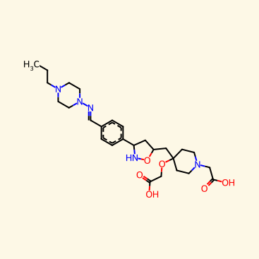 CCCN1CCN(N=Cc2ccc(C3CC(CC4(OCC(=O)O)CCN(CC(=O)O)CC4)ON3)cc2)CC1